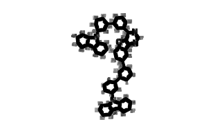 c1cc(-c2cccc(-n3c4ccccc4c4ccccc43)c2)cc(-c2ccc3oc4c(-c5cccc(-c6cccc(-n7c8ccccc8c8ccccc87)c6)c5)ncnc4c3c2)c1